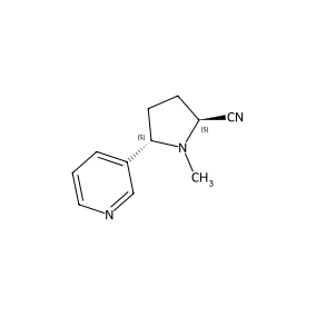 CN1[C@H](C#N)CC[C@H]1c1cccnc1